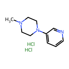 CN1CCN(c2cccnc2)CC1.Cl.Cl